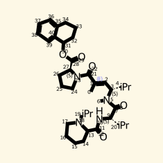 C/C(=C\[C@H](C(C)C)N(C)C(=O)[C@@H](NC(=O)C1CCCCN1C(C)C)C(C)C)C(=O)N1CCC[C@H]1C(=O)OC1CCCc2ccccc21